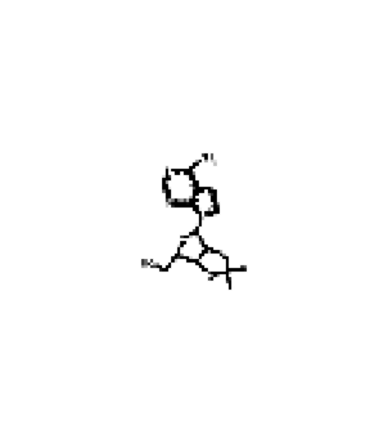 CC1(C)OC2C(CO)OC(n3ccc4c(N)ncnc43)C2O1